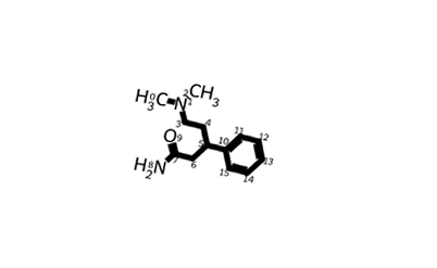 CN(C)CCC(CC(N)=O)c1ccccc1